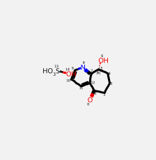 O=C1CCC[C@@H](O)c2ncccc21.O=S(=O)(O)O